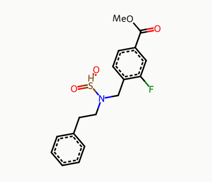 COC(=O)c1ccc(CN(CCc2ccccc2)[SH](=O)=O)c(F)c1